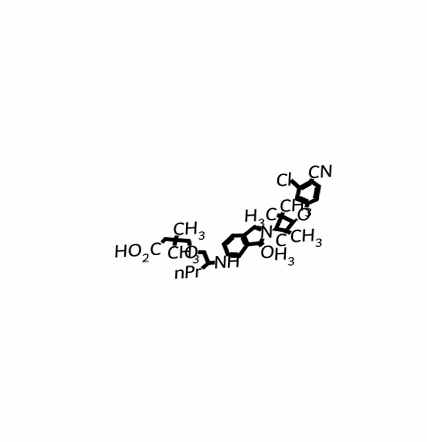 CCCC(COCC(C)(C)CC(=O)O)Nc1ccc2c(c1)C(=O)N([C@H]1C(C)(C)[C@H](Oc3ccc(C#N)c(Cl)c3)C1(C)C)C2